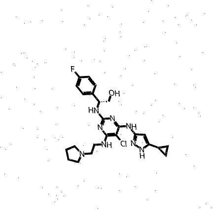 OC[C@H](Nc1nc(NCCN2CCCC2)c(Cl)c(Nc2cc(C3CC3)[nH]n2)n1)c1ccc(F)cc1